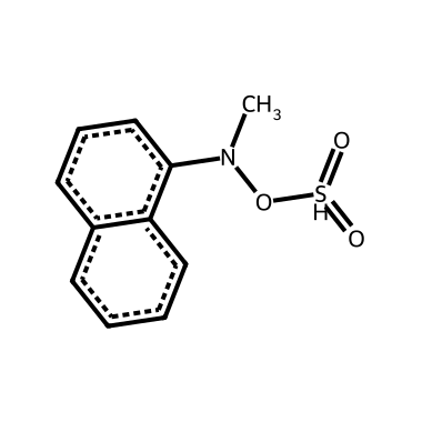 CN(O[SH](=O)=O)c1cccc2ccccc12